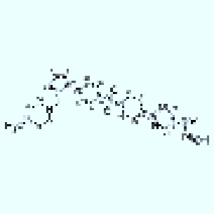 CN1CCN(Cc2sccc2-c2ccc(S(=O)(=O)N3CCN(c4ncc(C(=O)NO)cn4)CC3)cc2)CC1